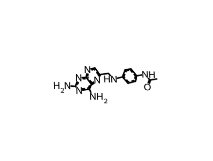 CC(=O)Nc1ccc(NCc2cnc3nc(N)nc(N)c3n2)cc1